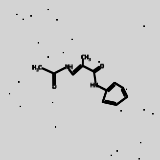 CC(=O)NC=C(C)C(=O)Nc1ccccc1